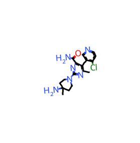 Cc1nc(N2CCC(C)(N)CC2)nc(C(N)=O)c1-c1cnccc1Cl